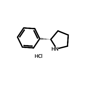 Cl.c1ccc([C@@H]2CCCN2)cc1